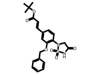 CC(C)(C)OC(=O)C=Cc1ccc(N2CC(=O)NS2(=O)=O)c(OCc2ccccc2)c1